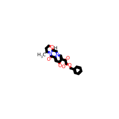 C[C@@H]1CCO[C@H]2Cn3cc(C(=O)C(=O)OCc4ccccc4)c(=O)cc3C(=O)N12